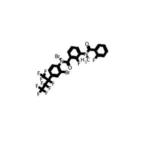 CN(C(=O)c1ccccc1F)c1cccc(C(=O)N(Br)c2ccc(C(F)(C(F)(F)F)C(F)(F)C(F)(F)F)cc2Br)c1F